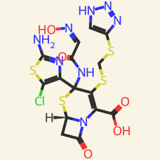 Nc1nc(C2(NC(=O)/C=N\O)S[C@H]3CC(=O)N3C(C(=O)O)=C2SCSc2c[nH]nn2)c(Cl)s1